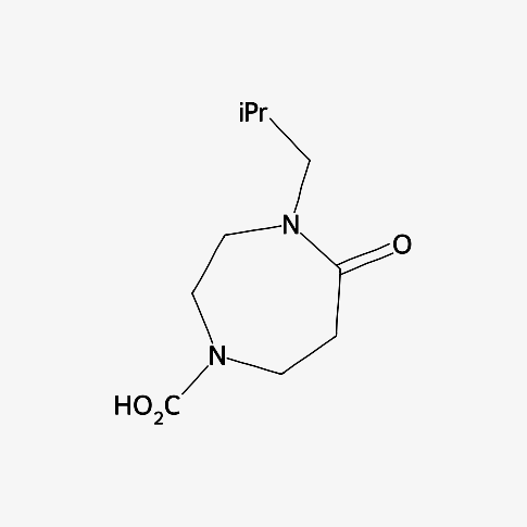 CC(C)CN1CCN(C(=O)O)CCC1=O